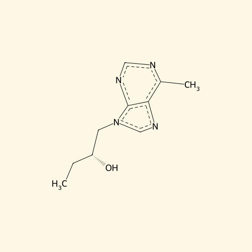 CC[C@@H](O)Cn1cnc2c(C)ncnc21